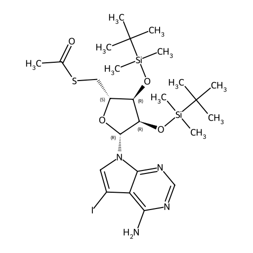 CC(=O)SC[C@H]1O[C@@H](n2cc(I)c3c(N)ncnc32)[C@H](O[Si](C)(C)C(C)(C)C)[C@@H]1O[Si](C)(C)C(C)(C)C